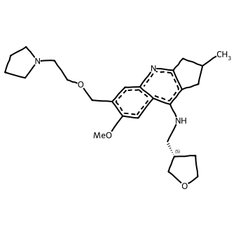 COc1cc2c(NC[C@@H]3CCOC3)c3c(nc2cc1COCCN1CCCC1)CC(C)C3